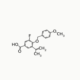 C=C(C)c1cc(C(=O)O)cc(F)c1OCc1ccc(OC)cc1